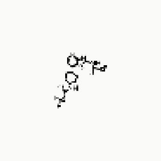 O=C(Nc1nc2nccc([C@H]3CC[C@H](NC(=O)C4CC4(F)F)CC3)c2s1)C1CC1